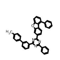 Cc1ccc(-c2cccc(-c3nc(-c4ccccc4)nc(-c4ccc5c(c4)oc4cccc(-c6ccccc6)c45)n3)c2)cc1